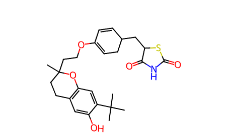 CC1(CCOC2=CCC(CC3SC(=O)NC3=O)C=C2)CCc2cc(O)c(C(C)(C)C)cc2O1